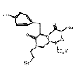 CCCCC1ON(C(=O)O)C2CN(CCC(C)C)C(=O)C(Cc3ccc(O)cc3)N2C1=O